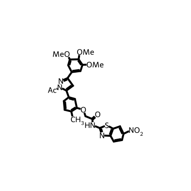 COc1cc(-c2cc(-c3ccc(C)c(OCC(=O)Nc4nc5ccc([N+](=O)[O-])cc5s4)c3)n(C(C)=O)n2)cc(OC)c1OC